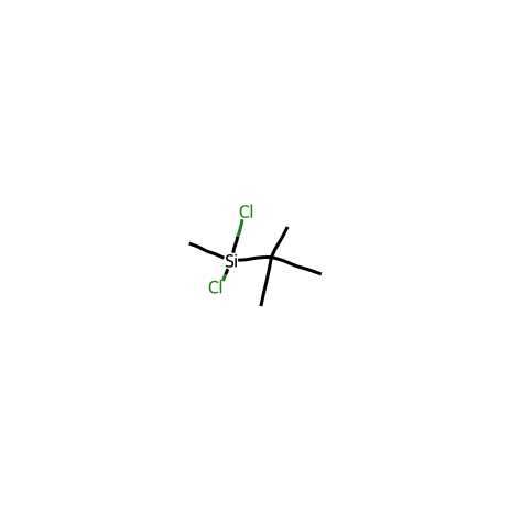 CC(C)(C)[Si](C)(Cl)Cl